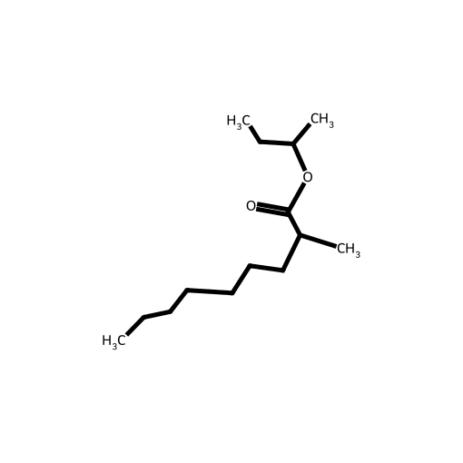 CCCCCCCC(C)C(=O)OC(C)CC